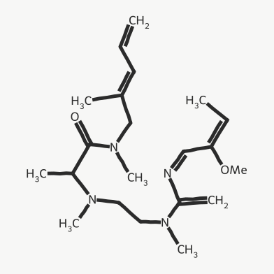 C=C/C=C(\C)CN(C)C(=O)C(C)N(C)CCN(C)C(=C)/N=C\C(=C/C)OC